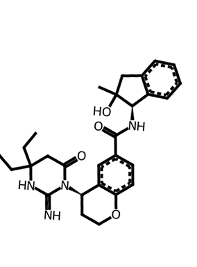 CCC1(CC)CC(=O)N([C@@H]2CCOc3ccc(C(=O)N[C@@H]4c5ccccc5CC4(C)O)cc32)C(=N)N1